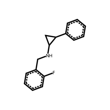 Fc1ccccc1CNC1CC1c1ccccc1